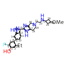 CCc1cc(O)c(F)cc1-c1ccc2c(-c3nc4c([nH]3)CCN(CCNC3CC(OC)C3)C4)n[nH]c2c1